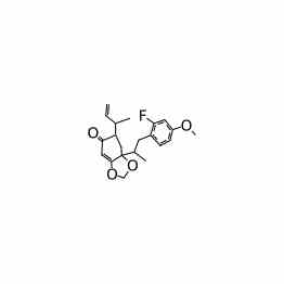 C=CC(C)C1CC2(C(C)Cc3ccc(OC)cc3F)OCOC2=CC1=O